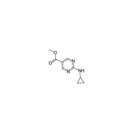 COC(=O)c1cnc(NC2CC2)nc1